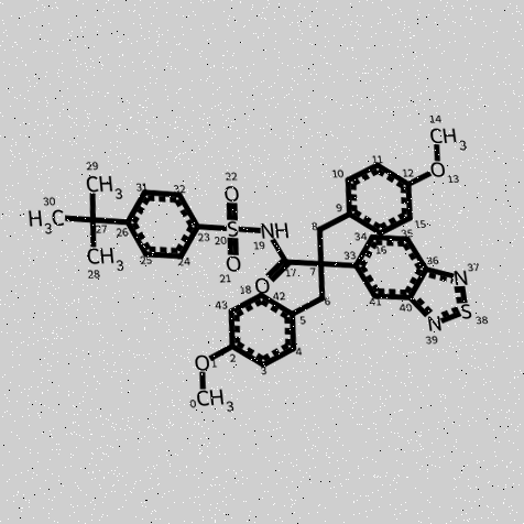 COc1ccc(CC(Cc2ccc(OC)cc2)(C(=O)NS(=O)(=O)c2ccc(C(C)(C)C)cc2)c2ccc3nsnc3c2)cc1